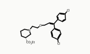 CCOC(=O)[C@@H]1CCCN(CCOCC=C(c2ccc(Cl)cc2)c2ccc(Cl)cc2)C1